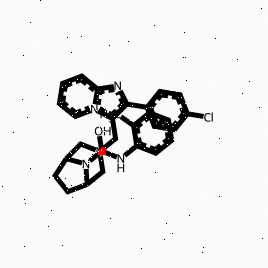 Cc1ccccc1NC(O)N1C2CCC1CN(Cc1c(-c3ccc(Cl)cc3)nc3ccccn13)C2